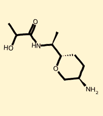 CC(O)C(=O)N[C@@H](C)[C@@H]1CC[C@@H](N)CO1